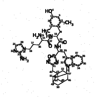 Cc1cc(O)cc(C)c1CC(NC(=O)C(N)CCCn1ccnc1N)C(=O)NC(Cc1c[nH]c2ccccc12)c1nc(CC23CC4CC(CC(C4)C2)C3)no1